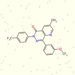 Cc1cnc2c(-c3cccc(OC(F)(F)F)c3)nn(-c3ccc(C(F)(F)F)cc3)c(=O)c2c1